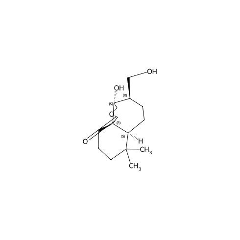 CC1(C)CCC[C@]23C(=O)OC[C@]2(O)[C@@H](CO)CC[C@@H]13